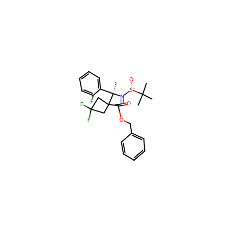 CC(C)(C)[S@@+]([O-])N[C@](C)(c1ccccc1F)C1(C(=O)OCc2ccccc2)CC(F)(F)C1